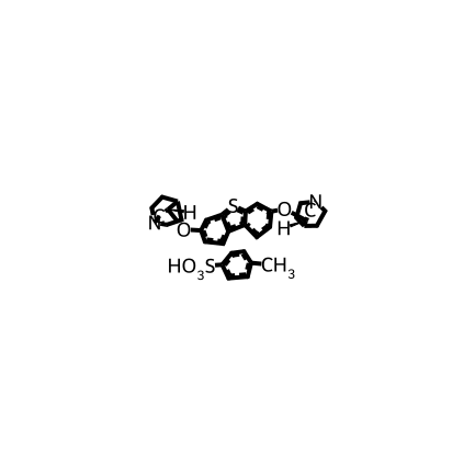 Cc1ccc(S(=O)(=O)O)cc1.c1cc2c(cc1O[C@@H]1CN3CCC1CC3)sc1cc(O[C@@H]3CN4CCC3CC4)ccc12